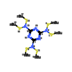 CCCCSN(SCCCC)c1nc(N(SCCCC)SCCCC)nc(N(SCCCC)SCCCC)n1